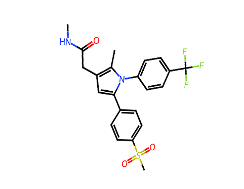 CNC(=O)Cc1cc(-c2ccc(S(C)(=O)=O)cc2)n(-c2ccc(C(F)(F)F)cc2)c1C